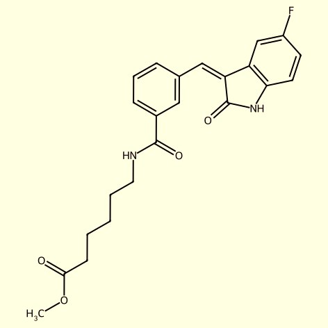 COC(=O)CCCCCNC(=O)c1cccc(/C=C2\C(=O)Nc3ccc(F)cc32)c1